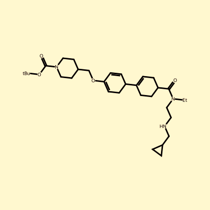 CCN(CCNCC1CC1)C(=O)C1CC=C(C2C=CC(OCC3CCN(C(=O)OC(C)(C)C)CC3)=CC2)CC1